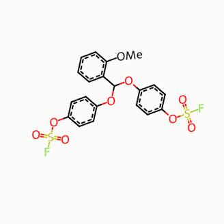 COc1ccccc1C(Oc1ccc(OS(=O)(=O)F)cc1)Oc1ccc(OS(=O)(=O)F)cc1